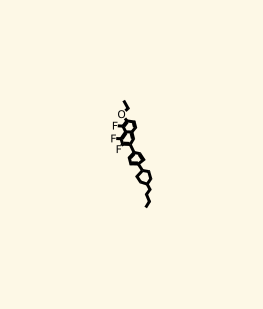 CCCCC1CCC(c2ccc(-c3cc4ccc(OCC)c(F)c4c(F)c3F)cc2)CC1